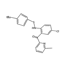 Cc1cccc(C(=O)c2cc(Cl)ccc2NSc2ccc(C(C)(C)C)cc2)n1